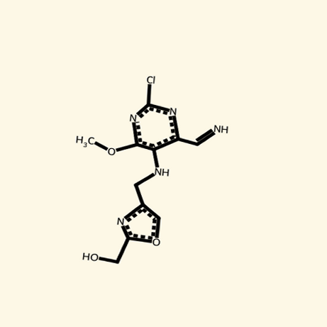 COc1nc(Cl)nc(C=N)c1NCc1coc(CO)n1